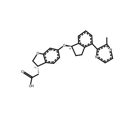 Cc1nccnc1-c1cccc2c1CC[C@H]2Oc1ccc2c(c1)OC[C@H]2CC(=O)O